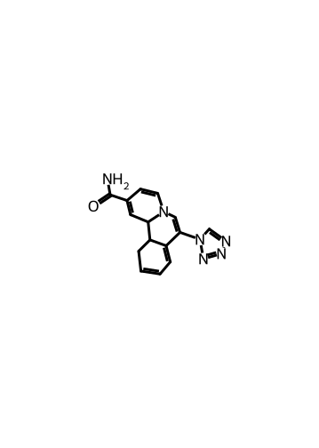 NC(=O)C1=CC2C3CC=CC=C3C(n3cnnn3)=CN2C=C1